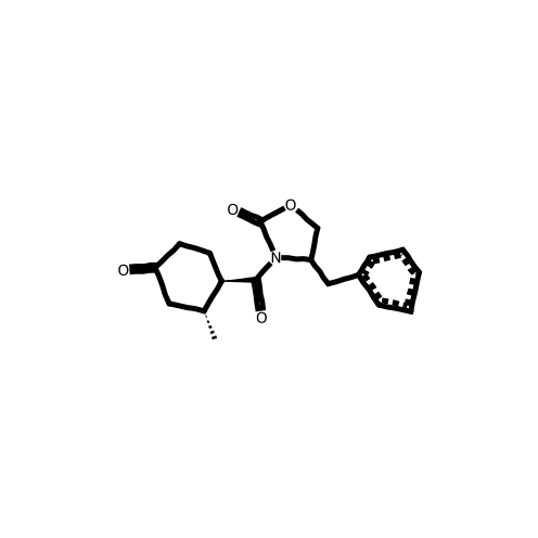 C[C@@H]1CC(=O)CC[C@H]1C(=O)N1C(=O)OCC1Cc1ccccc1